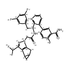 NC(=O)c1cc(-c2cccnc2[C@H](Cc2cc(F)cc(F)c2)NC(=O)Cn2nc(C(F)F)c3c2CC2CC32)ccc1F